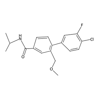 COCc1cc(C(=O)NC(C)C)ccc1-c1ccc(Cl)c(F)c1